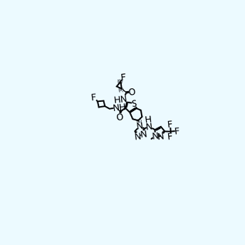 Cn1nc(C(F)(F)F)cc1Nc1nncn1[C@H]1CCc2sc(NC(=O)[C@H]3C[C@H]3F)c(C(=O)NCC3CC(F)C3)c2C1